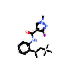 CC(C[Si](C)(C)C)c1ccccc1NC(=O)c1cn(C)nc1I